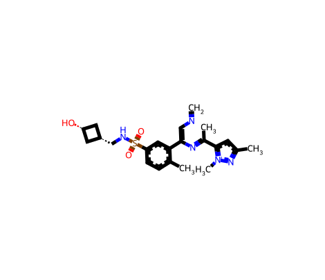 C=N/C=C(\N=C(/C)c1cc(C)nn1C)c1cc(S(=O)(=O)NC[C@H]2C[C@@H](O)C2)ccc1C